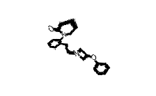 O=C1CCCCN1c1ccccc1CCN1CC(Oc2ccccc2)C1